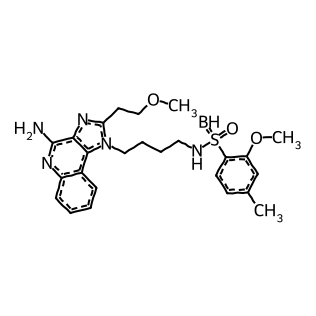 B=S(=O)(NCCCCn1c(CCOC)nc2c(N)nc3ccccc3c21)c1ccc(C)cc1OC